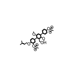 COc1cc(-c2ccc(OS(C)(=O)=O)cc2)c(OC)c(CO)c1-c1ccc(OCC=C(C)C)c(OS(C)(=O)=O)c1